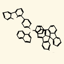 Cc1ccc2c(c1)C1(c3cc(C)ccc3-2)c2ccccc2-c2cccc(-c3ccc(N(c4ccc(-c5cccc6c5oc5ccccc56)cc4)c4cccc5ccccc45)cc3)c21